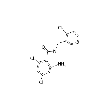 Nc1cc(Cl)cc(Cl)c1C(=O)NCc1ccccc1Cl